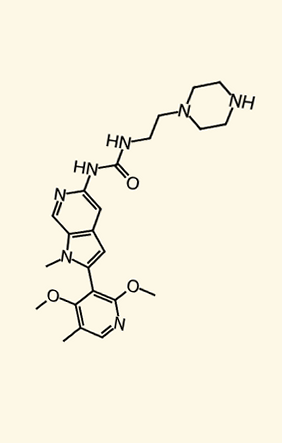 COc1ncc(C)c(OC)c1-c1cc2cc(NC(=O)NCCN3CCNCC3)ncc2n1C